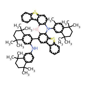 Cc1cc2c(cc1N1c3ccc4sc5ccccc5c4c3Bc3c(-c4cc5c(cc4Nc4ccc6c(c4)C(C)(C)CCC6(C)C)C(C)(C)CCC5(C)C)cc4c(sc5ccccc54)c31)C(C)(C)CCC2(C)C